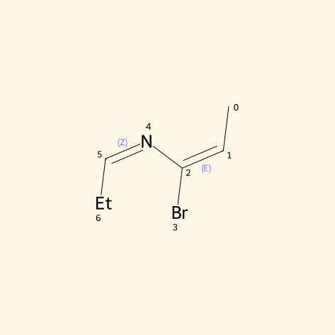 C/C=C(Br)\N=C/CC